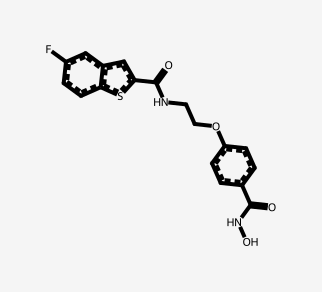 O=C(NO)c1ccc(OCCNC(=O)c2cc3cc(F)ccc3s2)cc1